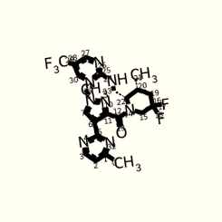 Cc1ccnc(-c2cn(C)nc2C(=O)N2CC(F)(F)C[C@@H](C)[C@H]2CNc2ncc(C(F)(F)F)cn2)n1